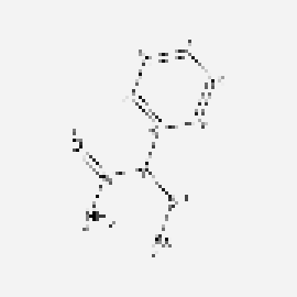 CC(=O)SC(C(N)=O)c1ccccc1